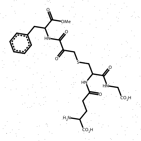 COC(=O)C(Cc1ccccc1)NC(=O)C(=O)CSCC(NC(=O)CCC(N)C(=O)O)C(=O)NCC(=O)O